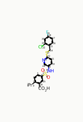 CC(C)c1ccc(S(=O)(=O)Nc2ccc(SCc3ccc(F)cc3Cl)nc2)cc1C(=O)O